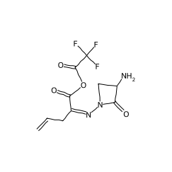 C=CCC(=NN1CC(N)C1=O)C(=O)OC(=O)C(F)(F)F